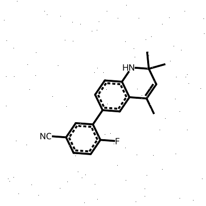 CC1=CC(C)(C)Nc2ccc(-c3cc(C#N)ccc3F)cc21